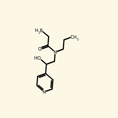 BCC(=O)N(CCC)CC(O)c1ccncc1